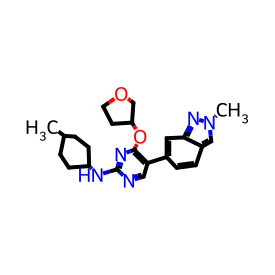 CC1CCC(Nc2ncc(-c3ccc4cn(C)nc4c3)c(OC3CCOC3)n2)CC1